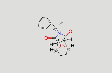 C[C@@H](c1ccccc1)N1C(=O)[C@@H]2[C@H](C1=O)[C@H]1CC[C@@H]2O1